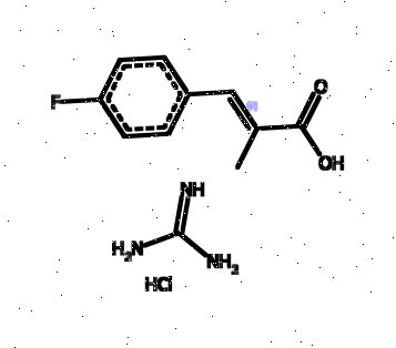 C/C(=C\c1ccc(F)cc1)C(=O)O.Cl.N=C(N)N